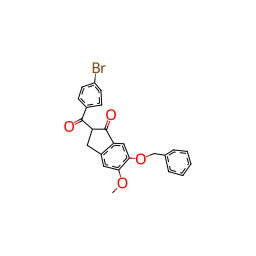 COc1cc2c(cc1OCc1ccccc1)C(=O)C(C(=O)c1ccc(Br)cc1)C2